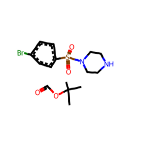 CC(C)(C)OC=O.O=S(=O)(c1ccc(Br)cc1)N1CCNCC1